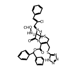 O=CN[C@@]1(N=CC(Cl)=Cc2ccccc2)C(=O)N2C(C(=O)OC(c3ccccc3)c3ccccc3)=C(CSc3nnn[nH]3)CS[C@H]21